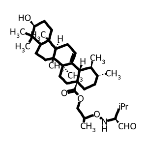 CC(COC(=O)[C@]12CC[C@@H](C)[C@H](C)[C@H]1C1=CC[C@@H]3[C@@]4(C)CC[C@H](O)C(C)(C)C4CC[C@@]3(C)[C@]1(C)CC2)ON[C@H](C=O)C(C)C